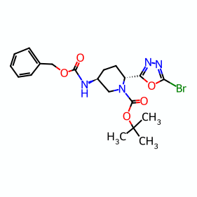 CC(C)(C)OC(=O)N1C[C@@H](NC(=O)OCc2ccccc2)CC[C@@H]1c1nnc(Br)o1